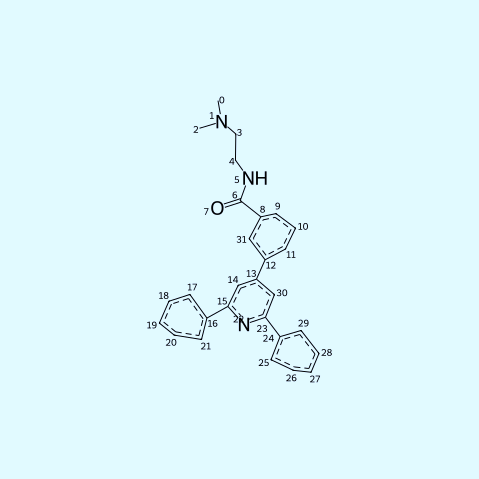 CN(C)CCNC(=O)c1cccc(-c2cc(-c3ccccc3)nc(-c3ccccc3)c2)c1